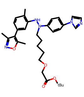 Cc1ccc(-c2c(C)noc2C)cc1NN(CCCCCOCC(=O)OC(C)(C)C)c1ccc(-n2ccnc2)cc1